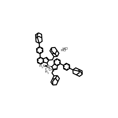 Cl.Cl.[CH3][Zr]([CH3])(=[SiH2])([CH]1C(CC2C3CC4CC(C3)CC2C4)=Cc2c(-c3ccc(C45CC6CC(CC(C6)C4)C5)cc3)cccc21)[CH]1C(CC2C3CC4CC(C3)CC2C4)=Cc2c(-c3ccc(C45CC6CC(CC(C6)C4)C5)cc3)cccc21